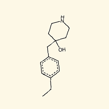 CCc1ccc(CC2(O)CCNCC2)cc1